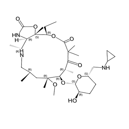 CC[C@H]1OC(=O)C(C)(C)C(=O)[C@H](C)[C@@H](O[C@@H]2O[C@H](CNC3CC3)CC[C@H]2O)[C@](C)(OC)C[C@@H](C)CN[C@H](C)[C@H]2NC(=O)O[C@@]21C